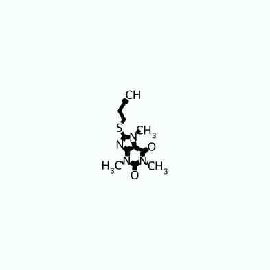 C#CCCSc1nc2c(c(=O)n(C)c(=O)n2C)n1C